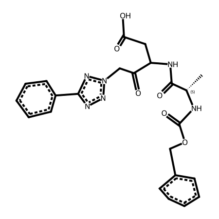 C[C@H](NC(=O)OCc1ccccc1)C(=O)NC(CC(=O)O)C(=O)Cn1nnc(-c2ccccc2)n1